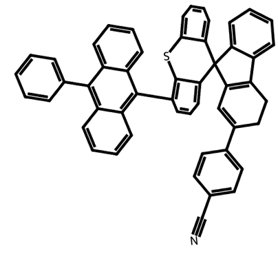 N#Cc1ccc(C2=CC3=C(CC2)c2ccccc2C32c3ccccc3Sc3c(-c4c5ccccc5c(-c5ccccc5)c5ccccc45)cccc32)cc1